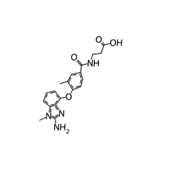 Cc1cc(C(=O)NCCC(=O)O)ccc1Oc1cccc2c1nc(N)n2C